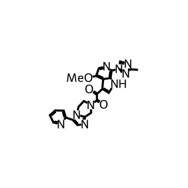 COc1cnc(-n2cnc(C)n2)c2[nH]cc(C(=O)C(=O)N3CCn4c(-c5ccccn5)cnc4C3)c12